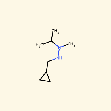 CC(C)N(C)NCC1CC1